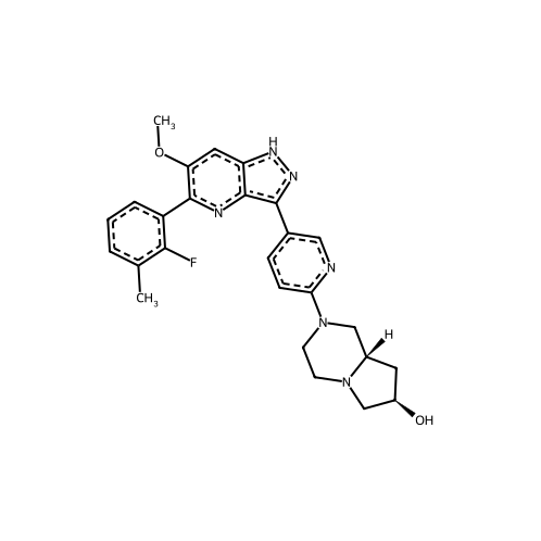 COc1cc2[nH]nc(-c3ccc(N4CCN5C[C@H](O)C[C@H]5C4)nc3)c2nc1-c1cccc(C)c1F